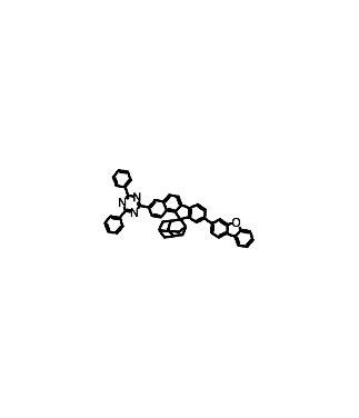 c1ccc(-c2nc(-c3ccccc3)nc(-c3ccc4c5c(ccc4c3)-c3ccc(-c4ccc6c(c4)oc4ccccc46)cc3C53C4CC5CC(C4)CC3C5)n2)cc1